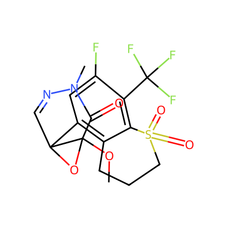 COC12OC1(c1cc(F)c(C(F)(F)F)c3c1CCCS3(=O)=O)C=NN(C)C2=O